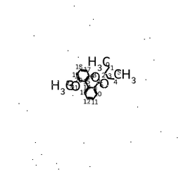 CCCC(CC)OC(=O)c1ccccc1-c1ccccc1OC